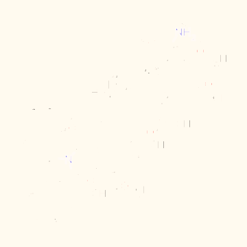 COc1cc2c(OC)c(-c3c(C)cc4c(C(=O)N(CC5CCCCC5)CC5CCCCC5)c(OC)c(OC)cc4c3OC)c(C)cc2c(C(N)=O)c1OC